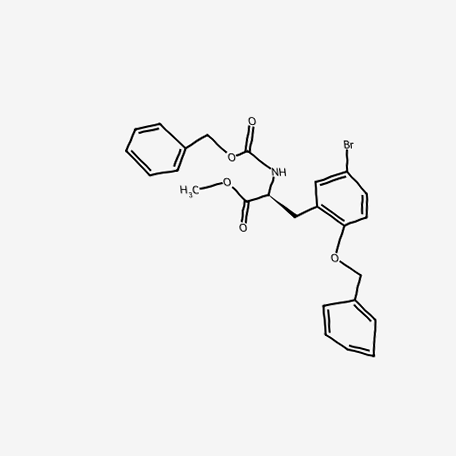 COC(=O)[C@H](Cc1cc(Br)ccc1OCc1ccccc1)NC(=O)OCc1ccccc1